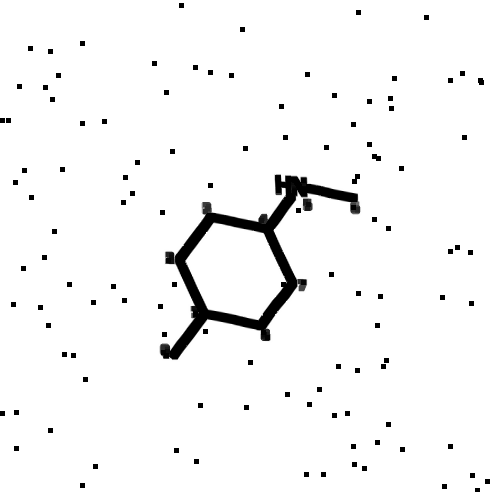 [CH2]C1CCC(NC)CC1